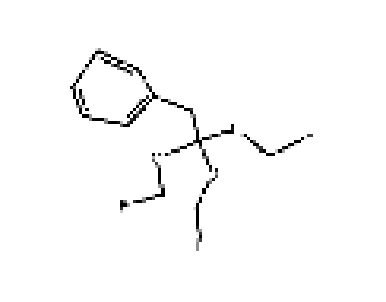 FCOC([CH]c1ccccc1)(OCF)OCF